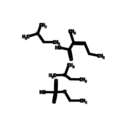 CCC=C(C)C(=O)O.CCN(C)C.CCN(C)C.CCOS(=O)(=O)O